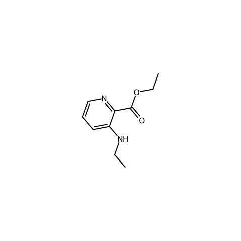 CCNc1cccnc1C(=O)OCC